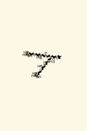 CC(C)(C)OCC(O)CN(CCNCCNCC(O)COCCC[Si](O)(O)O)CCNCCNCC(O)COCCC[Si](O)(O)O